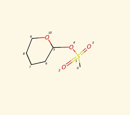 CS(=O)(=O)OC1CCCCO1